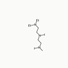 CCN(CC)CCN(I)CCN(C)I